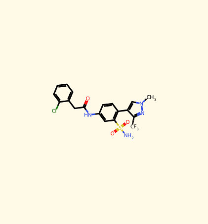 Cn1cc(-c2ccc(NC(=O)Cc3ccccc3Cl)cc2S(N)(=O)=O)c(C(F)(F)F)n1